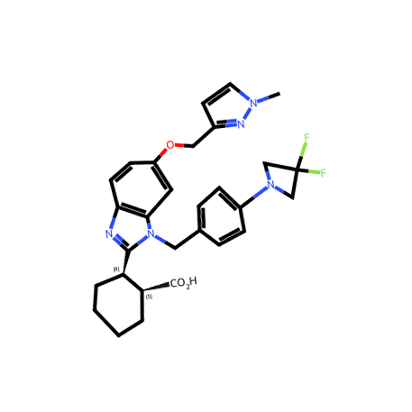 Cn1ccc(COc2ccc3nc([C@@H]4CCCC[C@@H]4C(=O)O)n(Cc4ccc(N5CC(F)(F)C5)cc4)c3c2)n1